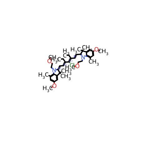 CCC(/C=C/C1=[N+](CCOC)c2c(C)cc(OC)cc2C1(C)C)=C(Cl)\C(=C\C=C1\N(CCOC)c2c(C)cc(OC)cc2C1(C)C)CC